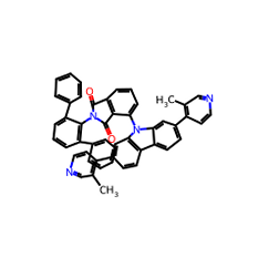 Cc1cnccc1-c1ccc2c3ccc(-c4ccncc4C)cc3n(-c3cccc4c3C(=O)N(c3c(-c5ccccc5)cccc3-c3ccccc3)C4=O)c2c1